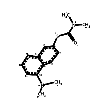 CN(C)C(=O)Sc1ccc2c(N(C)C)cccc2c1